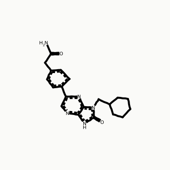 NC(=O)Cc1ccc(-c2cnc3[nH]c(=O)n(CC4CCCCC4)c3n2)cc1